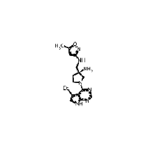 CCc1c[nH]c2ncnc(N3CC[C@](N)(CNc4cc(C)on4)C3)c12